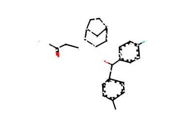 COC(=O)CC[C@@H]1C2CCC(C2)C[C@@H]1OC(c1ccc(C)cc1)c1ccc(F)cc1